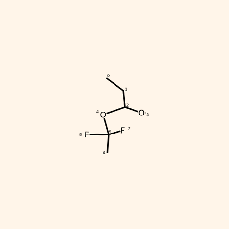 CCC([O])OC(C)(F)F